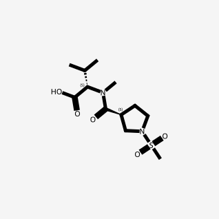 CC(C)[C@@H](C(=O)O)N(C)C(=O)[C@H]1CCN(S(C)(=O)=O)C1